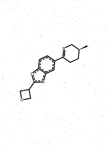 C[C@H]1CCC(c2ccc3sc(C4COC4)nc3c2)=NC1